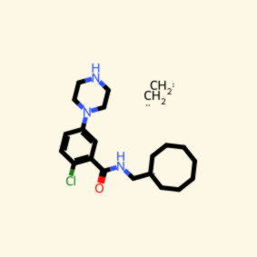 O=C(NC[C]1CCCCCCC1)c1cc(N2CCNCC2)ccc1Cl.[CH2].[CH2]